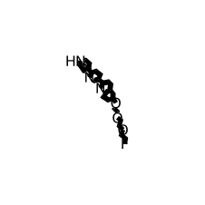 FCCOCCOCCOc1ccc2nc(-c3ccc(N4CCNCC4)nc3)ccc2c1